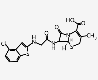 CC1=C(C(=O)O)N2C(=O)C(NC(=O)CNc3cc4c(Cl)cccc4s3)[C@@H]2SC1